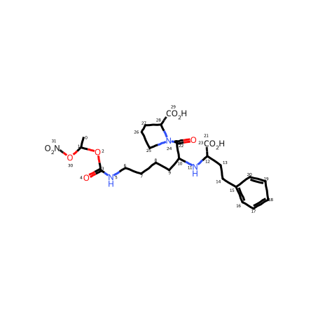 CC(OC(=O)NCCCCC(NC(CCc1ccccc1)C(=O)O)C(=O)N1CCCC1C(=O)O)O[N+](=O)[O-]